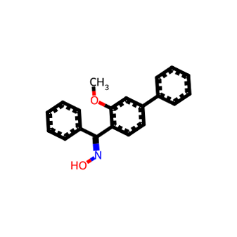 COc1cc(-c2ccccc2)ccc1C(=NO)c1ccccc1